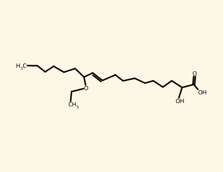 CCCCCCC(/C=C/CCCCCCCC(O)C(=O)O)OCC